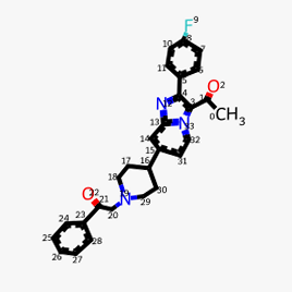 CC(=O)c1c(-c2ccc(F)cc2)nc2cc(C3CCN(CC(=O)c4ccccc4)CC3)ccn12